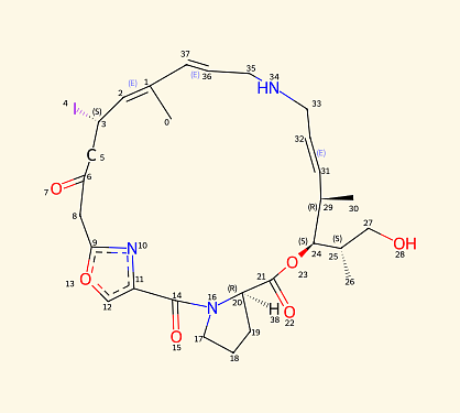 CC1=C\[C@@H](I)CC(=O)Cc2nc(co2)C(=O)N2CCC[C@@H]2C(=O)O[C@H]([C@@H](C)CO)[C@H](C)/C=C/CNC\C=C\1